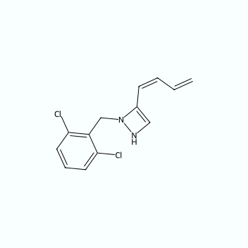 C=C/C=C\c1c[nH]n1Cc1c(Cl)cccc1Cl